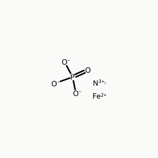 O=P([O-])([O-])[O-].[Fe+2].[N+3]